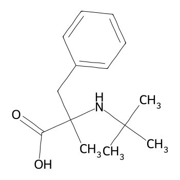 CC(C)(C)NC(C)(Cc1ccccc1)C(=O)O